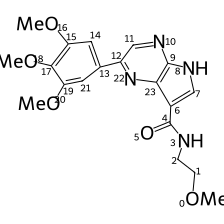 COCCNC(=O)c1c[nH]c2ncc(-c3cc(OC)c(OC)c(OC)c3)nc12